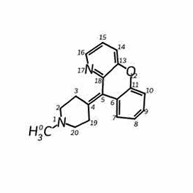 CN1CCC(=C2c3ccccc3Oc3cccnc32)CC1